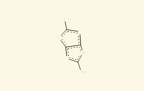 CC(C)c1nc2sc(C(C)(C)C)nc2s1